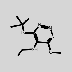 CCNc1c(NC(C)(C)C)nnnc1OC